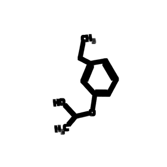 CCc1cccc(OC(C)O)c1